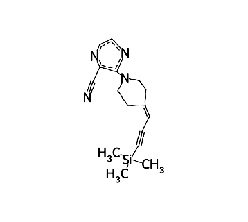 C[Si](C)(C)C#CC=C1CCN(c2nccnc2C#N)CC1